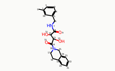 Cc1cccc(CNC(=O)C(O)C(O)C(=O)N2CCc3ccccc3C2)c1